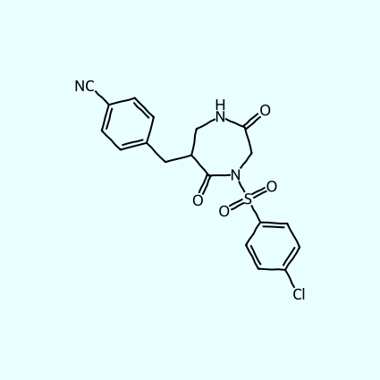 N#Cc1ccc(CC2CNC(=O)CN(S(=O)(=O)c3ccc(Cl)cc3)C2=O)cc1